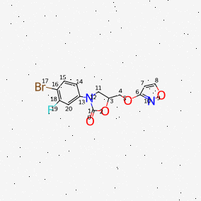 O=C1OC(COc2ccon2)CN1c1ccc(Br)c(F)c1